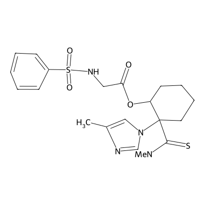 CNC(=S)C1(n2cnc(C)c2)CCCCC1OC(=O)CNS(=O)(=O)c1ccccc1